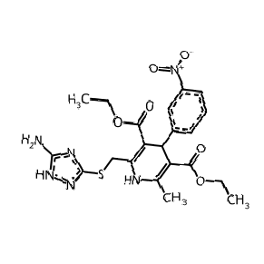 CCOC(=O)C1=C(C)NC(CSc2n[nH]c(N)n2)=C(C(=O)OCC)C1c1cccc([N+](=O)[O-])c1